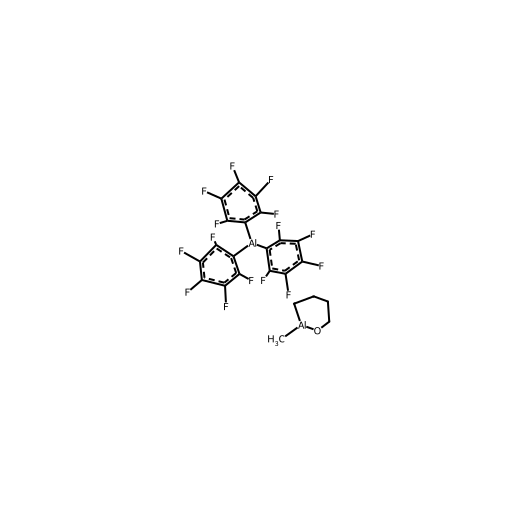 Fc1c(F)c(F)[c]([Al]([c]2c(F)c(F)c(F)c(F)c2F)[c]2c(F)c(F)c(F)c(F)c2F)c(F)c1F.[CH3][Al]1[CH2]CCC[O]1